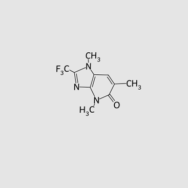 Cc1cc2c(nc(C(F)(F)F)n2C)n(C)c1=O